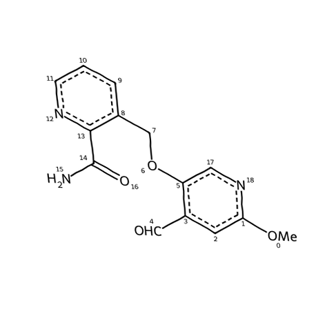 COc1cc(C=O)c(OCc2cccnc2C(N)=O)cn1